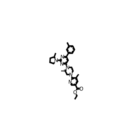 CCOC(=O)c1cnc(N2CCN(c3cc(-c4cccc(C)c4)nc(N4CCCC4C)n3)[C@H](C)C2)c(C)c1